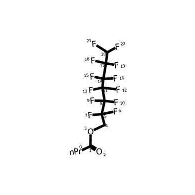 C[CH]CC(=O)OCC(F)(F)C(F)(F)C(F)(F)C(F)(F)C(F)(F)C(F)F